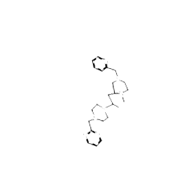 CC(CC1CN(Cc2ccccn2)CCN1C)N1CCN(Cc2ncccn2)CC1